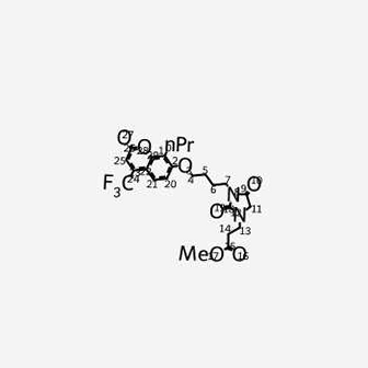 CCCc1c(OCCCCN2C(=O)CN(CCC(=O)OC)C2=O)ccc2c(C(F)(F)F)cc(=O)oc12